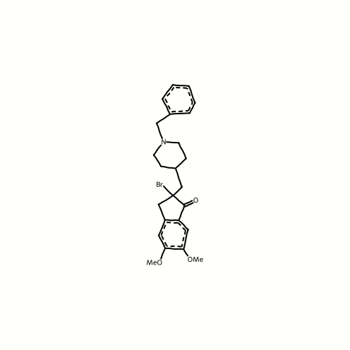 COc1cc2c(cc1OC)C(=O)C(Br)(CC1CCN(Cc3ccccc3)CC1)C2